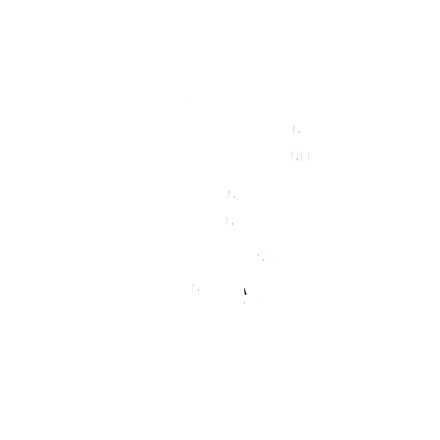 C[C@H](Nc1nnc(-c2[nH]nc3ccc(Cl)cc23)o1)C(=O)N1CCC2(CC1)CC2